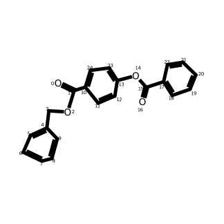 O=C(OCc1ccccc1)c1ccc(OC(=O)c2ccccc2)cc1